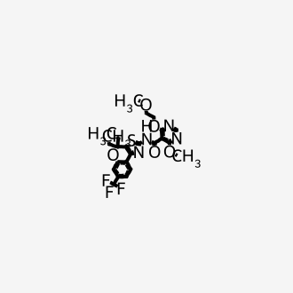 CCC1(CC)Oc2cc(C(F)(F)F)ccc2-c2nc(NC(=O)c3c(OC)ncnc3OCCOC)sc21